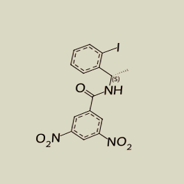 C[C@H](NC(=O)c1cc([N+](=O)[O-])cc([N+](=O)[O-])c1)c1ccccc1I